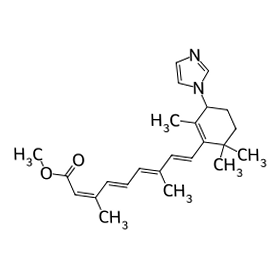 COC(=O)\C=C(C)/C=C/C=C(C)/C=C/C1=C(C)C(n2ccnc2)CCC1(C)C